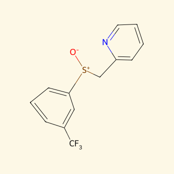 [O-][S+](Cc1ccccn1)c1cccc(C(F)(F)F)c1